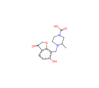 CC1CN(C(=O)O)CCN1Cc1c(O)ccc2c1OCC2=O